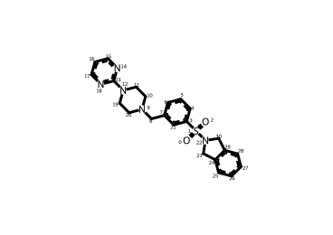 O=S(=O)(c1cccc(CN2CCN(c3ncccn3)CC2)c1)N1Cc2ccccc2C1